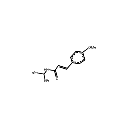 CCCC(CCC)NC(=O)/C=C/c1ccc(OC)cc1